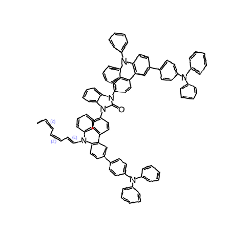 C\C=C/C=C\C=C\N(c1ccccc1)c1ccc(-c2ccc(N(c3ccccc3)c3ccccc3)cc2)cc1-c1ccc(-n2c(=O)n(-c3ccc(-c4cc(-c5ccc(N(c6ccccc6)c6ccccc6)cc5)ccc4N(c4ccccc4)c4ccccc4)cc3)c3ccccc32)cc1